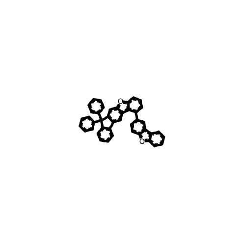 c1ccc(C2(c3ccccc3)c3ccccc3-c3cc4c(cc32)oc2cccc(-c3ccc5oc6ccccc6c5c3)c24)cc1